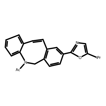 CC(=O)N1Cc2ccc(-c3ncc(C(C)C)o3)cc2C=Cc2ccccc21